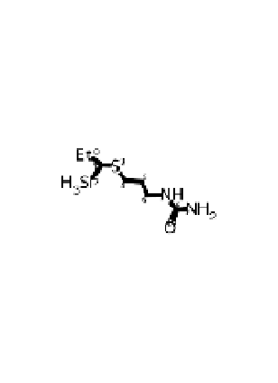 CCC([SiH3])SCCCNC(N)=O